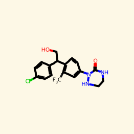 O=C1NCCNN1c1ccc(C(CO)c2ccc(Cl)cc2)c(C(F)(F)F)c1